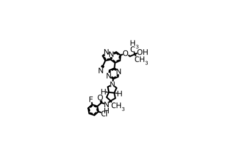 CC(C)(O)COc1cc(-c2cnc(N3C[C@@H]4CC(C)(NC(=O)c5c(F)cccc5Cl)C[C@@H]4C3)cn2)c2c(C#N)cnn2c1